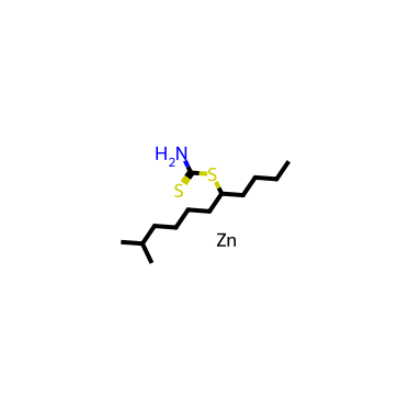 CCCCC(CCCCC(C)C)SC(N)=S.[Zn]